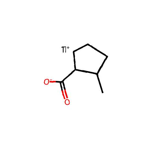 CC1CCCC1C(=O)[O-].[Tl+]